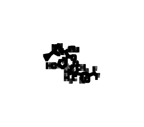 CC(C)(NC(=O)[C@@H]1C[C@@H](O)CN1C(=O)[C@@H](n1cc(C2CC2)nn1)C(C)(C)C)c1cc(C(F)F)on1